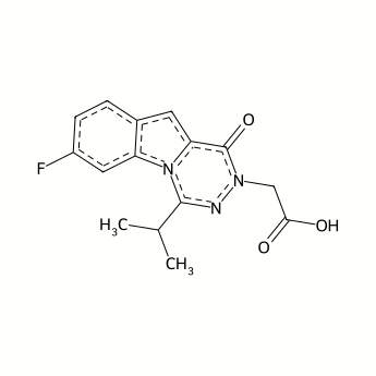 CC(C)c1nn(CC(=O)O)c(=O)c2cc3ccc(F)cc3n12